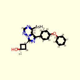 C[C@]1(O)C[C@@H](c2nc(-c3ccc(Oc4ccccc4)cc3)c3c([AsH2])ncnn32)C1